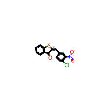 O=C1/C(=C\c2ccc(Cl)c([N+](=O)[O-])c2)Sc2ccccc21